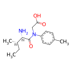 CC[C@H](C)[C@H](N)C(=O)N(CC(=O)O)c1ccc(C)cc1